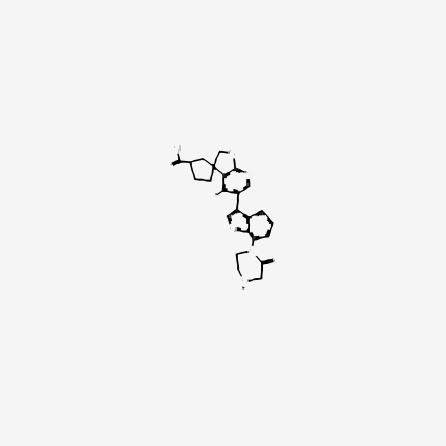 NC(=O)C1CCC2(CNc3ncc(-c4c[nH]c5c(N6CCN(C(=O)O)CC6=O)cccc45)c(Cl)c32)C1